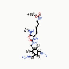 CCNC(=O)C(CCCCNC(=O)OC(C)(C)C)NC(=O)NCc1c(CC)c(CN)c(CC)c(CN)c1CC